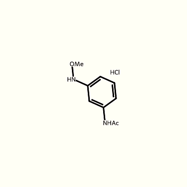 CONc1cccc(NC(C)=O)c1.Cl